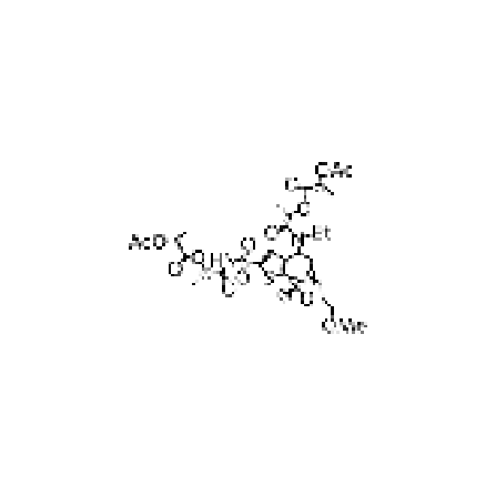 CCN(C(=O)[C@H](C)OC(=O)[C@H](C)OC(C)=O)C1CN(CCCOC)S(=O)(=O)c2sc(S(=O)(=O)NC(=O)[C@H](C)OC(=O)[C@H](C)OC(C)=O)cc21